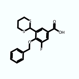 O=C(O)c1cc(F)c(OCc2ccccc2)c(C2SCCCS2)c1